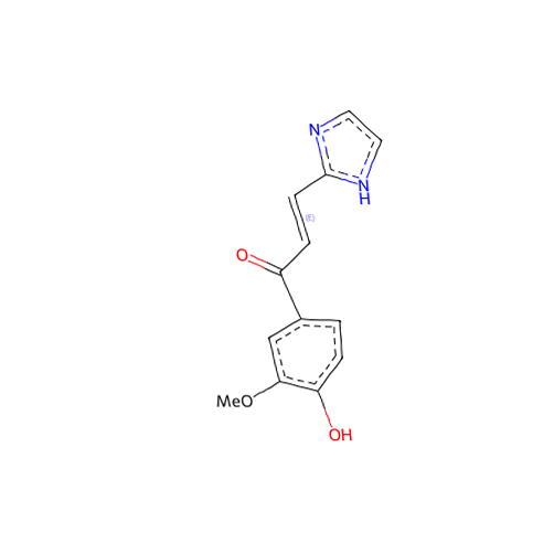 COc1cc(C(=O)/C=C/c2ncc[nH]2)ccc1O